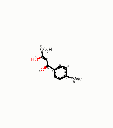 CSc1ccc(C(=O)/C=C(\O)C(=O)O)cc1